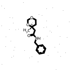 C[C@]1(CC(=O)NCc2ccccc2)CCOCO1